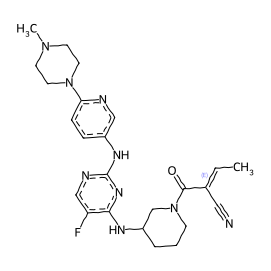 C/C=C(\C#N)C(=O)N1CCCC(Nc2nc(Nc3ccc(N4CCN(C)CC4)nc3)ncc2F)C1